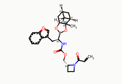 C=CC(=O)N1CC[C@@H]1COC(=O)N[C@@H](Cc1coc2ccccc12)B1OC2C[C@@H]3C[C@@H](C3(C)C)[C@]2(C)O1